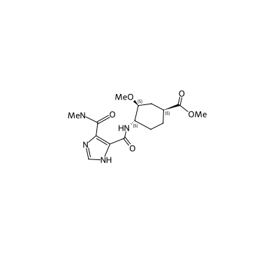 CNC(=O)c1nc[nH]c1C(=O)N[C@H]1CC[C@H](C(=O)OC)C[C@@H]1OC